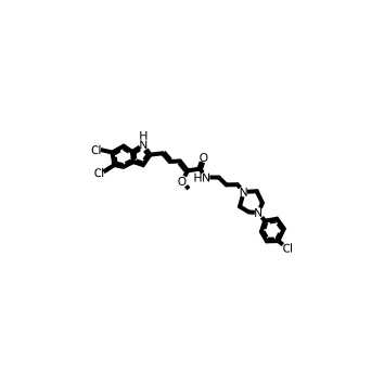 COC(=CC=Cc1cc2cc(Cl)c(Cl)cc2[nH]1)C(=O)NCCCN1CCN(c2ccc(Cl)cc2)CC1